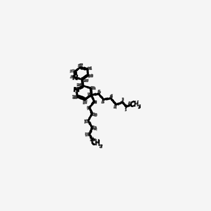 CCCCCCCC1(CCCCCCC)C=CN=C(c2ccccn2)C1